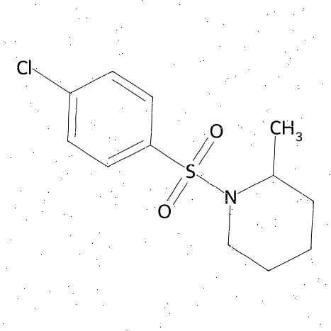 CC1CCCCN1S(=O)(=O)c1ccc(Cl)cc1